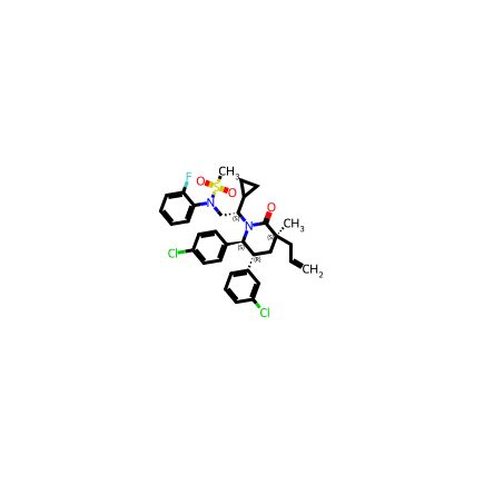 C=CC[C@@]1(C)C[C@H](c2cccc(Cl)c2)[C@@H](c2ccc(Cl)cc2)N([C@H](CN(c2ccccc2F)S(C)(=O)=O)C2CC2)C1=O